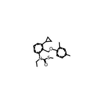 CCN(C(=O)SC)c1cccc(C2CC2)c1COc1ccc(C)cc1C